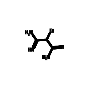 CCC(C(=N)N)C(N)=S